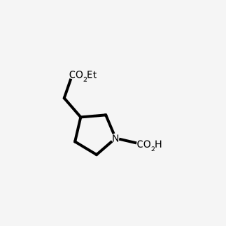 CCOC(=O)CC1CCN(C(=O)O)C1